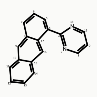 c1cnc(-c2cccc3cc4ccccc4cc23)nc1